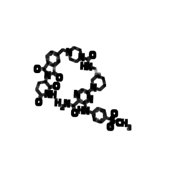 CS(=O)(=O)c1ccc(Nc2nc(N3CCC[C@@H](CNC(=O)N4CCN(Cc5ccc6c(c5)C(=O)N(C5CCC(=O)NC5=O)C6=O)CC4)C3)cnc2C(N)=O)cc1